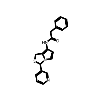 O=C(Cc1ccccc1)Nc1ccn2c1CSC2c1cccnc1